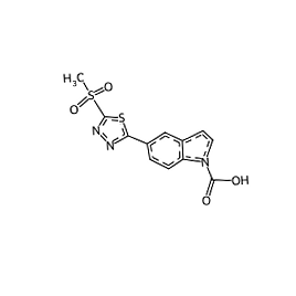 CS(=O)(=O)c1nnc(-c2ccc3c(ccn3C(=O)O)c2)s1